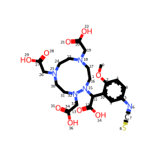 COc1ccc(N=C=S)cc1C(C(=O)O)N1CCN(CC(=O)O)CCN(CC(=O)O)CCN1CC(=O)O